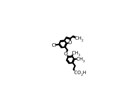 C=Cc1cc2cc(Cl)cc(COc3ccc(CCC(=O)O)c(C)c3C)c2o1